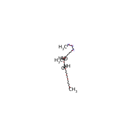 CC/C=C\C/C=C\C/C=C\CCCCCCCC(=O)N[C@H](C)CCCCNC(=O)CCCCCCCCCCCCCCCCC